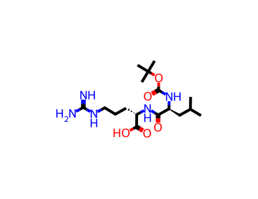 CC(C)C[C@H](NC(=O)OC(C)(C)C)C(=O)N[C@@H](CCCNC(=N)N)C(=O)O